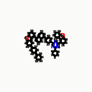 C1=C(c2nc(-c3ccccc3)nc(-c3cccc4oc5ccccc5c34)n2)CCC(c2cccc3c(-c4cccc5oc6ccc(-c7ccc(-c8ccccc8)cc7)cc6c45)cccc23)=C1